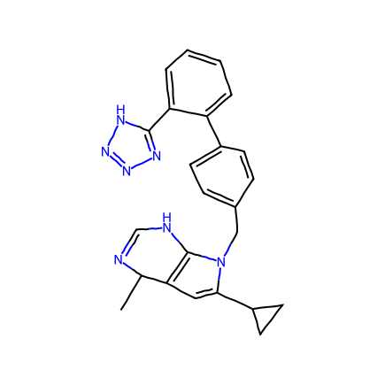 CC1N=CNc2c1cc(C1CC1)n2Cc1ccc(-c2ccccc2-c2nnn[nH]2)cc1